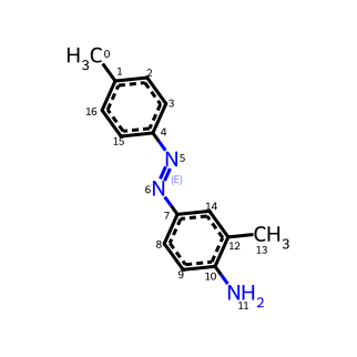 Cc1ccc(/N=N/c2ccc(N)c(C)c2)cc1